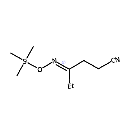 CC/C(CCC#N)=N\O[Si](C)(C)C